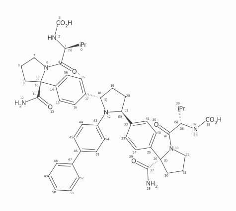 CC(C)[C@H](NC(=O)O)C(=O)N1CCC[C@@]1(C(N)=O)c1ccc([C@@H]2CC[C@@H](c3ccc([C@]4(C(N)=O)CCCN4C(=O)[C@@H](NC(=O)O)C(C)C)cc3)N2c2ccc(-c3ccccc3)cc2)cc1